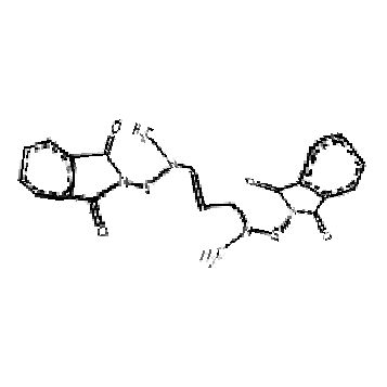 CN(C=CCN(C)SN1C(=O)c2ccccc2C1=O)SN1C(=O)c2ccccc2C1=O